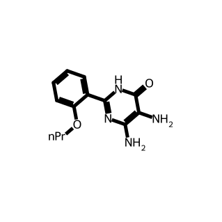 CCCOc1ccccc1-c1nc(N)c(N)c(=O)[nH]1